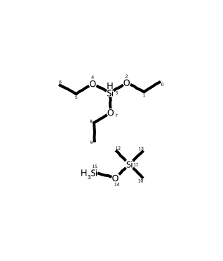 CCO[SiH](OCC)OCC.C[Si](C)(C)O[SiH3]